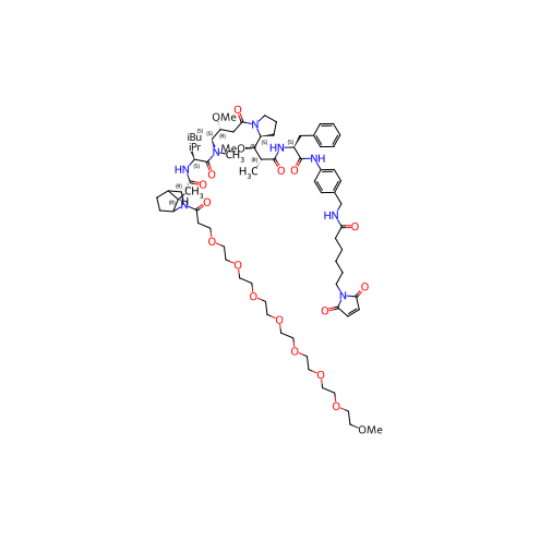 CC[C@H](C)[C@@H]([C@@H](CC(=O)N1CCC[C@H]1[C@H](OC)[C@@H](C)C(=O)N[C@@H](Cc1ccccc1)C(=O)Nc1ccc(CNC(=O)CCCCCN2C(=O)C=CC2=O)cc1)OC)N(C)C(=O)[C@@H](NC(=O)[C@H]1C2CCC([C@@H]2C)N1C(=O)CCOCCOCCOCCOCCOCCOCCOCCOC)C(C)C